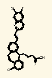 O=C(O)CCSC1c2cc(/C=C/c3ccc4cc(F)c(Cl)cc4n3)ccc2C=Cc2c(Cl)cccc21